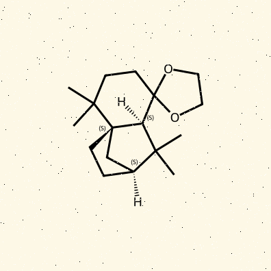 CC1(C)[C@H]2CC[C@]3(C2)[C@H]1C1(CCC3(C)C)OCCO1